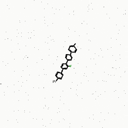 Cc1ccc(-c2ccc(-c3ccc(-c4ccc(C(C)C)cc4)cc3F)cc2)cc1